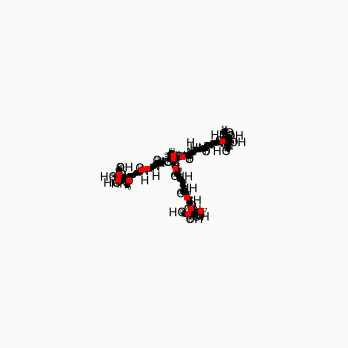 CC(=O)NC1[C@H](OCCCCC(=O)NCCCNC(=O)CCOCC(COCCC(=O)NCCCNC(=O)CCCCO[C@@H]2OC(CO)[C@H](O)C(O)[C@@H]2NC(C)=O)(COCCC(=O)NCCCNC(=O)CCCCO[C@@H]2OC(CO)[C@H](O)C(O)[C@@H]2NC(C)=O)NC(C)C)OC(CO)[C@H](O)[C@@H]1O